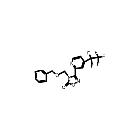 O=c1onc(-c2cc(C(F)(F)C(F)(F)F)ccn2)n1COCc1ccccc1